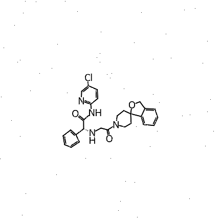 O=C(Nc1ccc(Cl)cn1)[C@H](NCC(=O)N1CCC2(CC1)OCc1ccccc12)c1ccccc1